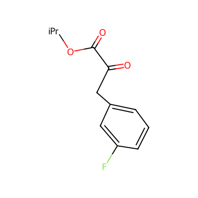 CC(C)OC(=O)C(=O)Cc1cccc(F)c1